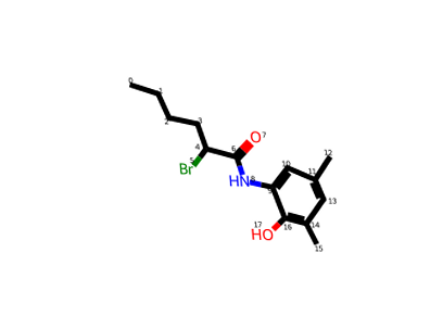 CCCCC(Br)C(=O)Nc1cc(C)cc(C)c1O